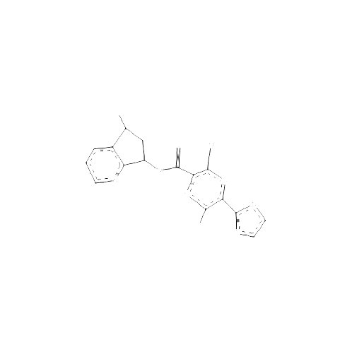 Cc1nc(C(=O)NC2CC(C)c3cccnc32)c(N)nc1-c1ncco1